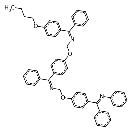 CCCCOc1ccc(/C(=N\COc2ccc(/C(=N\COc3ccc(C(=Nc4ccccc4)c4ccccc4)cc3)c3ccccc3)cc2)c2ccccc2)cc1